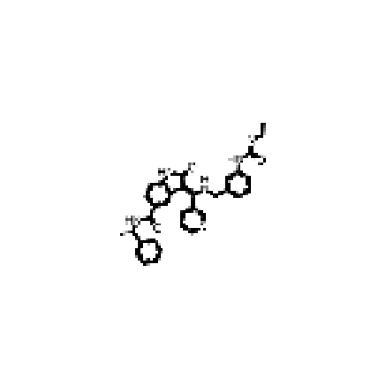 CCNC(=O)Nc1cccc(CN/C(=C2\C(=O)Nc3ccc(C(=O)N[C@H](C)c4ccccc4)cc32)c2cccnc2)c1